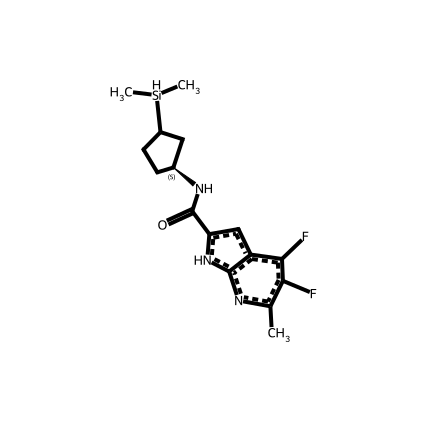 Cc1nc2[nH]c(C(=O)N[C@H]3CCC([SiH](C)C)C3)cc2c(F)c1F